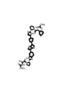 COC(=O)NC(C(=O)N1CCC[C@H]1c1nc2ccc(-c3csc4c(-c5ccc(-c6cnc([C@@H]7CCCN7C(=O)[C@H](NC(=O)OC)c7ccccc7)[nH]6)cc5)csc34)cc2[nH]1)C(C)C